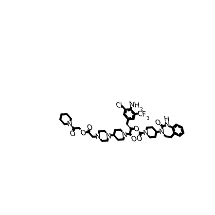 Nc1c(Cl)cc(C[C@@H](OC(=O)N2CCC(N3CCc4ccccc4NC3=O)CC2)C(=O)N2CCC(N3CCN(CC(=O)OCC(=O)N4CCCCC4)CC3)CC2)cc1C(F)(F)F